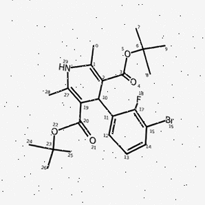 CC1=C(C(=O)OC(C)(C)C)C(c2cccc(Br)c2F)C(C(=O)OC(C)(C)C)=C(C)N1